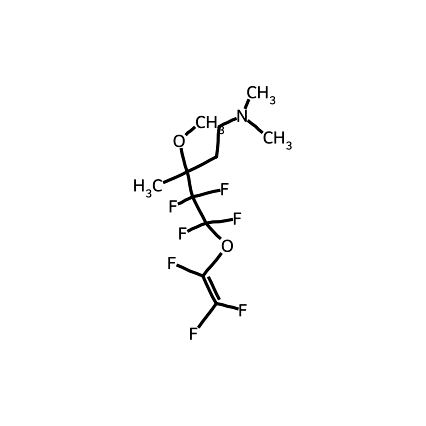 COC(C)(CCN(C)C)C(F)(F)C(F)(F)OC(F)=C(F)F